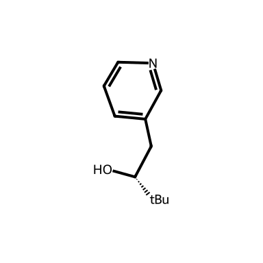 CC(C)(C)[C@H](O)Cc1cccnc1